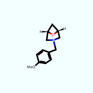 COc1ccc(CN2C[C@H]3C[C@@H](C2)O3)cc1